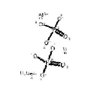 O=P([O-])([O-])[O-].O=P([O-])([O-])[O-].[Al+3].[GeH2+2].[Li+]